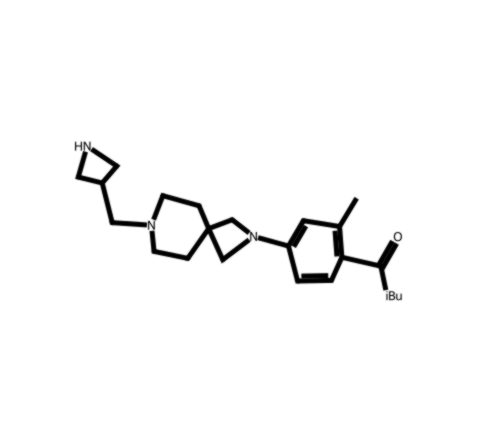 CCC(C)C(=O)c1ccc(N2CC3(CCN(CC4CNC4)CC3)C2)cc1C